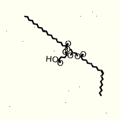 CCCCCCCCC=CCCCCCCCC(=O)OCC(COC(=O)CCCCCCC/C=C\CCCCCCCC)OC(=O)CCC(=O)O